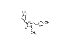 CCCn1c(CCc2ccc(O)cc2)nn(Cc2ccc(C)cc2)c1=O